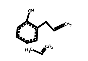 C=CC.C=CCc1ccccc1O